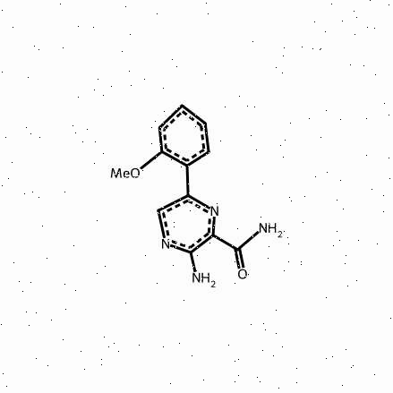 COc1ccccc1-c1cnc(N)c(C(N)=O)n1